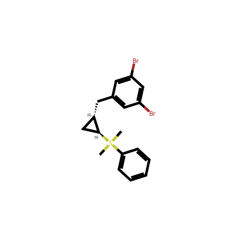 CS(C)(c1ccccc1)[C@H]1C[C@@H]1Cc1cc(Br)cc(Br)c1